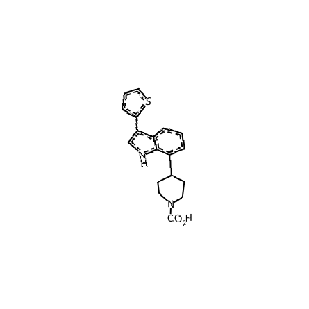 O=C(O)N1CCC(c2cccc3c(-c4cccs4)c[nH]c23)CC1